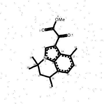 COC(=O)C(=O)c1cn2c3c(ccc(C)c13)C(C)CC2(C)C